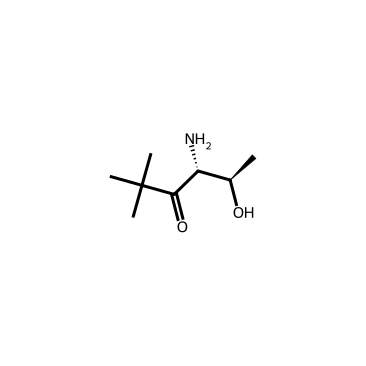 C[C@@H](O)[C@@H](N)C(=O)C(C)(C)C